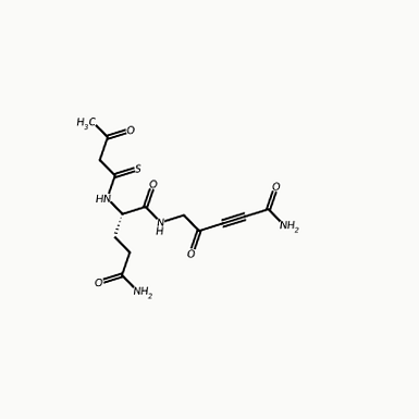 CC(=O)CC(=S)N[C@@H](CCC(N)=O)C(=O)NCC(=O)C#CC(N)=O